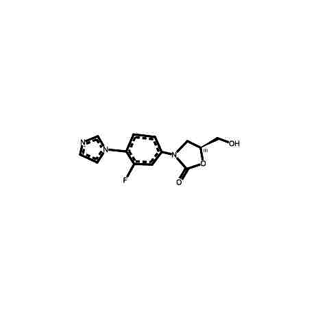 O=C1O[C@H](CO)CN1c1ccc(-n2ccnc2)c(F)c1